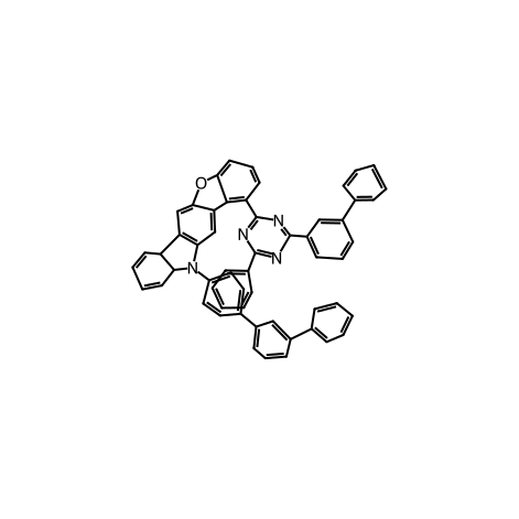 C1=CC2c3cc4oc5cccc(-c6nc(-c7ccccc7)nc(-c7cccc(-c8ccccc8)c7)n6)c5c4cc3N(c3ccc(-c4cccc(-c5ccccc5)c4)cc3)C2C=C1